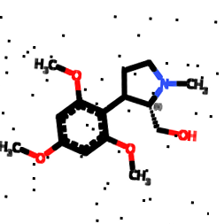 COc1cc(OC)c(C2CCN(C)[C@@H]2CO)c(OC)c1